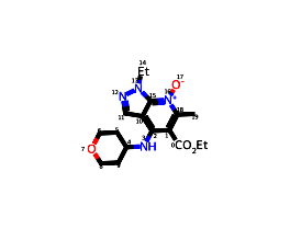 CCOC(=O)c1c(NC2CCOCC2)c2cnn(CC)c2[n+]([O-])c1C